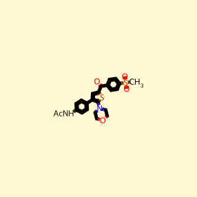 CC(=O)Nc1ccc(-c2cc(C(=O)c3ccc(S(C)(=O)=O)cc3)sc2N2CCOCC2)cc1